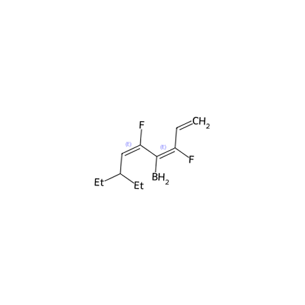 BC(/C(F)=C\C(CC)CC)=C(\F)C=C